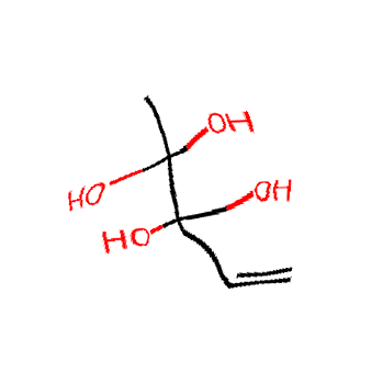 C=CC(O)(O)C(C)(O)O